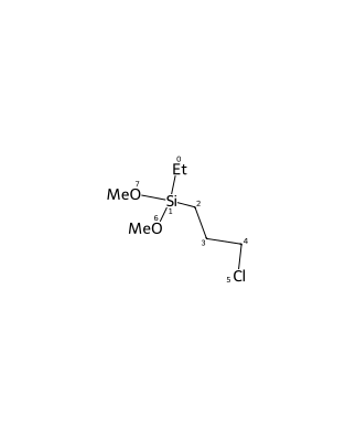 CC[Si](CCCCl)(OC)OC